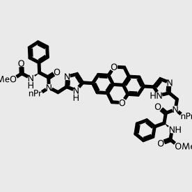 CCCN(Cc1ncc(-c2cc3c4c(c2)OCc2cc(-c5cnc(CN(CCC)C(=O)[C@H](NC(=O)OC)c6ccccc6)[nH]5)cc(c2-4)OC3)[nH]1)C(=O)[C@H](NC(=O)OC)c1ccccc1